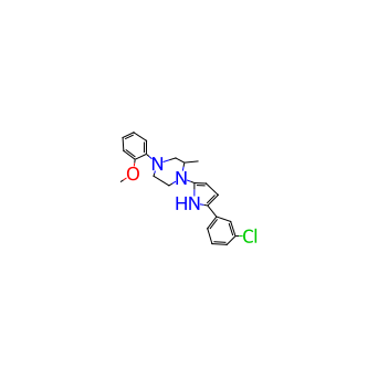 COc1ccccc1N1CCN(c2ccc(-c3cccc(Cl)c3)[nH]2)C(C)C1